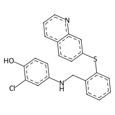 Oc1ccc(NCc2ccccc2Sc2ccc3cccnc3c2)cc1Cl